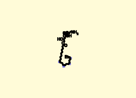 CC/C=C\C/C=C\C/C=C\C/C=C\CCCCCCCCC(=O)OCC(O)COP(=O)(O)OCCN